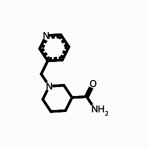 NC(=O)C1CCCN(Cc2cccnc2)C1